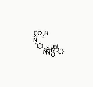 CCN(C(=O)c1ccccc1Cl)c1nnc(-c2ccc(CN3CC(C(=O)O)C3)cc2)s1